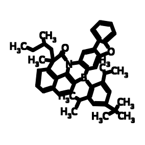 CCC(C)CC1(C)C(=O)N2c3cc4c(cc3B(c3c(C(C)C)cc(C(C)(C)C)cc3C(C)C)c3ccc5cccc1c5c32)oc1ccccc14